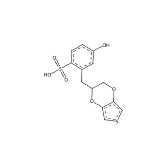 O=S(=O)(O)c1ccc(O)cc1CC1COc2cscc2O1